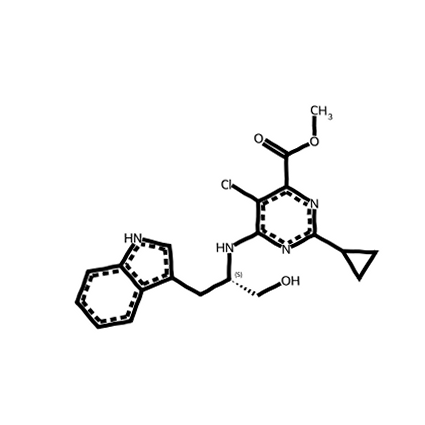 COC(=O)c1nc(C2CC2)nc(N[C@H](CO)Cc2c[nH]c3ccccc23)c1Cl